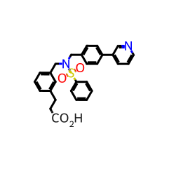 O=C(O)CCc1cccc(CN(Cc2ccc(-c3cccnc3)cc2)S(=O)(=O)c2ccccc2)c1